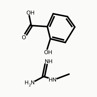 CNC(=N)N.O=C(O)c1ccccc1O